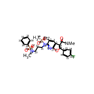 CCc1cc2c(C(=O)NC)c(-c3ccc(F)cc3)oc2nc1N(CCCN(C)S(=O)(=O)c1ccccc1)S(C)(=O)=O